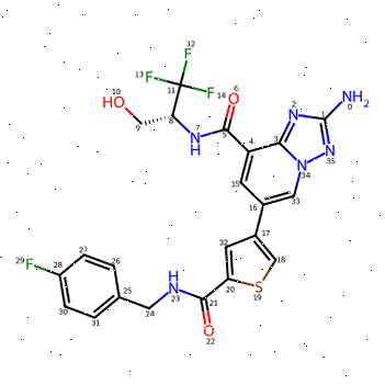 Nc1nc2c(C(=O)N[C@H](CO)C(F)(F)F)cc(-c3csc(C(=O)NCc4ccc(F)cc4)c3)cn2n1